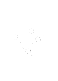 CC(=Nc1c(C)cccc1C)C(C)=Nc1c(C(C)C)cccc1C(C)C.[Ni+2].[O-]c1c([O-])c(Br)c2c(c1Br)Oc1c(Br)c(Br)c(Br)c(Br)c1O2